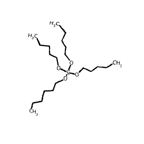 CCCCCCO[Si](OCCCCC)(OCCCCC)OCCCCC